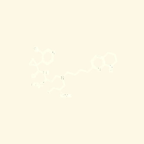 CO[C@H](CF)CN(CCCCc1ccc2c(n1)NCCC2)CC[C@H](NC(=O)C1(c2ccncc2Cl)CC1)C(=O)O